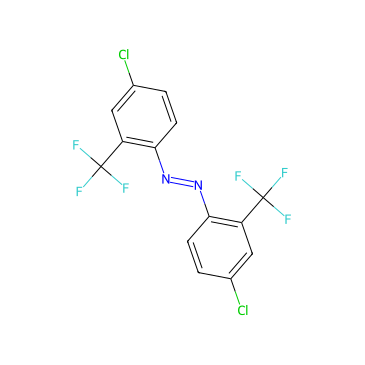 FC(F)(F)c1cc(Cl)ccc1/N=N/c1ccc(Cl)cc1C(F)(F)F